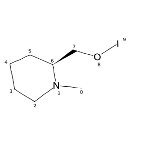 CN1CCCC[C@H]1COI